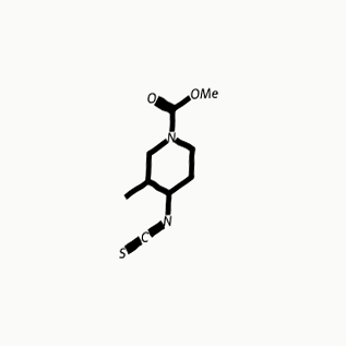 COC(=O)N1CCC(N=C=S)C(C)C1